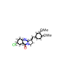 COc1ccc(C=C2CCn3c2nc2ccc(Cl)cc2c3=O)cc1OC